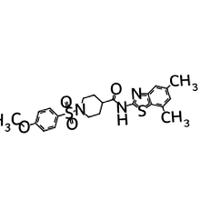 COc1ccc(S(=O)(=O)N2CCC(C(=O)Nc3nc4cc(C)cc(C)c4s3)CC2)cc1